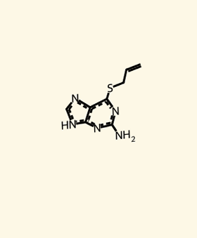 C=CCSc1nc(N)nc2[nH]cnc12